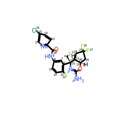 NC1=N[C@](CF)(c2cc(NC(=O)c3ccc(Cl)cn3)ccc2F)[C@H]2CC(F)(F)C[C@H]2O1